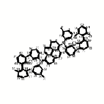 Cc1cccc(N(c2ccc3ccc4c(N(c5cccc(C)c5)c5cccc6c5oc5c(-c7c(C)cccc7C)cccc56)ccc5ccc2c3c54)c2cccc3c2oc2c(-c4c(C)cccc4C)cccc23)c1